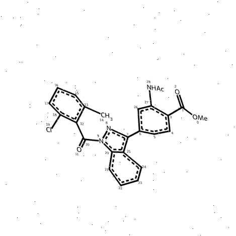 COC(=O)c1ccc(-c2nn(C(=O)c3c(C)cccc3Cl)c3ccccc23)cc1NC(C)=O